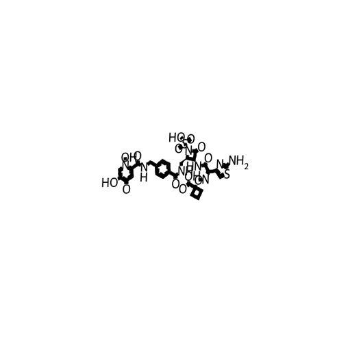 Nc1nc(C(=NOC2(C(=O)O)CCC2)C(=O)N[C@@H]2C(=O)N(S(=O)(=O)O)[C@@H]2CNC(=O)c2ccc(CNC(=O)c3cc(=O)c(O)cn3O)cc2)cs1